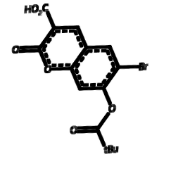 CC(C)(C)C(=O)Oc1cc2oc(=O)c(C(=O)O)cc2cc1Br